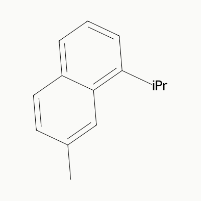 Cc1ccc2cccc(C(C)C)c2c1